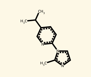 Cc1nccn1-c1ccc(C(C)C)cn1